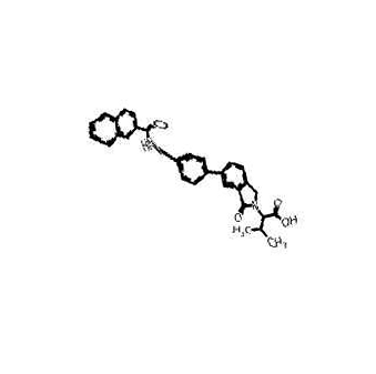 CC(C)C(C(=O)O)N1Cc2ccc(-c3ccc(NC(=O)c4ccc5ccccc5c4)cc3)cc2C1=O